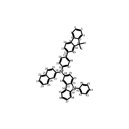 CC1(C)c2ccccc2-c2ccc(-c3ccc(N(c4ccc5ccccc5c4)c4ccc5c(c4)c4ccccc4n5-c4ccccc4)cc3)cc21